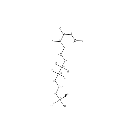 COCC(C)C(C)COCC(C)(C)C(C)(C)COCC(C)(F)F